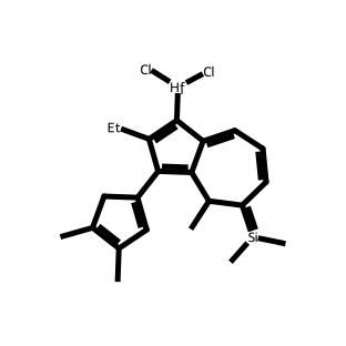 CCC1=[C]([Hf]([Cl])[Cl])C2=CC=CC(=[Si](C)C)C(C)C2=C1C1=CC(C)=C(C)C1